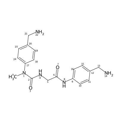 CN(C(=O)NCC(=O)Nc1ccc(CN)cc1)c1ccc(CN)cc1